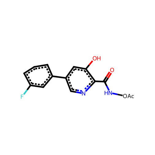 CC(=O)ONC(=O)c1ncc(-c2cccc(F)c2)cc1O